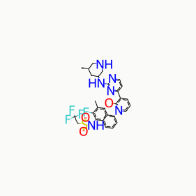 Cc1c(F)c(NS(=O)(=O)CC(F)(F)F)c2ccccc2c1Oc1ncccc1-c1ccnc(N[C@@H]2CNC[C@H](C)C2)n1